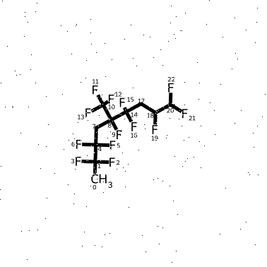 CC(F)(F)C(F)(F)CC(F)(C(F)(F)F)C(F)(F)CC(F)[C](F)F